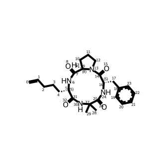 C=CCCC[C@@H]1NC(=O)[C@H]2CCCN2C(=O)[C@H](Cc2ccccc2)NC(=O)C(C)(C)NC1=O